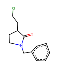 O=C1C(CCCl)CCN1Cc1ccccc1